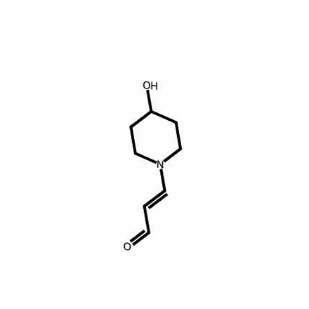 O=CC=CN1CCC(O)CC1